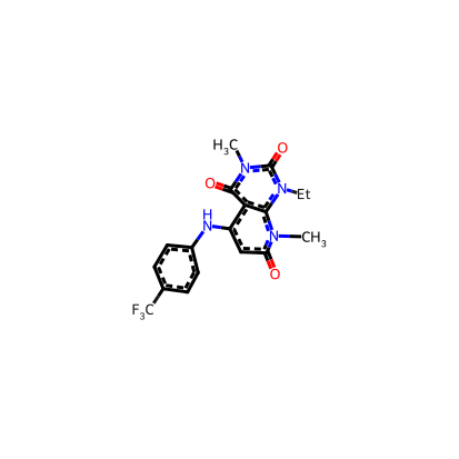 CCn1c(=O)n(C)c(=O)c2c(Nc3ccc(C(F)(F)F)cc3)cc(=O)n(C)c21